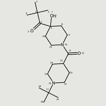 CC(C)(C)C(=O)C1(O)CCN(C(=O)C2CCN(C(C)(C)C)CC2)CC1